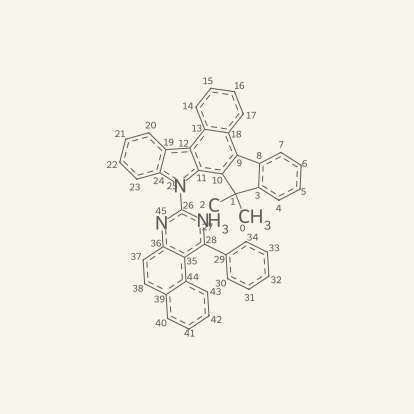 CC1(C)c2ccccc2-c2c1c1c(c3ccccc23)c2ccccc2n1-c1nc(-c2ccccc2)c2c(ccc3ccccc32)n1